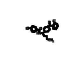 CCCCC(NC(=O)c1ccc(Cl)cc1)N1CCN(C(=O)c2ccccc2Cl)CC1